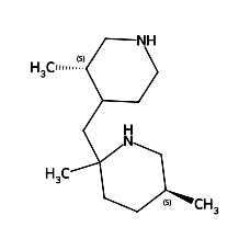 C[C@H]1CCC(C)(CC2CCNC[C@H]2C)NC1